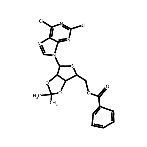 CC1(C)OC2C(COC(=O)c3ccccc3)SC(n3cnc4c(Cl)nc(Cl)nc43)C2O1